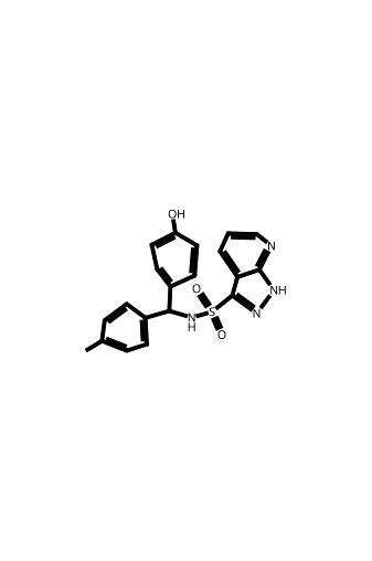 Cc1ccc(C(NS(=O)(=O)c2n[nH]c3ncccc23)c2ccc(O)cc2)cc1